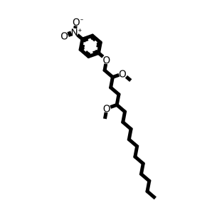 CCCCCCCCCCCC(CCC(COc1ccc([N+](=O)[O-])cc1)OC)OC